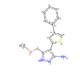 COCc1[nH]nc(N)c1-c1cc(-c2ccccc2)cs1